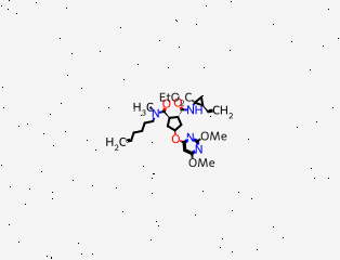 C=CCCCCN(C)C(=O)[C@@H]1C[C@H](Oc2cc(OC)nc(OC)n2)C[C@H]1C(=O)N[C@]1(C(=O)OCC)C[C@H]1C=C